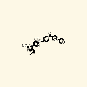 Cn1ccc2c(-c3cnc(OCC4CCN(C(=O)C5CCN(C6CCOCC6)CC5)CC4)c(C(F)(F)F)c3)nc(C#N)nc21